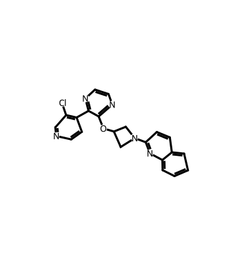 Clc1cnccc1-c1nccnc1OC1CN(c2ccc3ccccc3n2)C1